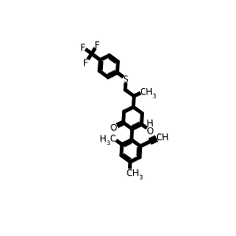 C#Cc1cc(C)cc(C)c1C1=C(O)CC(C(C)CSc2ccc(C(F)(F)F)cc2)CC1=O